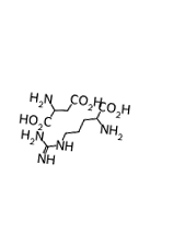 N=C(N)NCCCC(N)C(=O)O.NC(CC(=O)O)C(=O)O